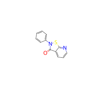 O=c1c2cccnc2sn1-c1ccccc1